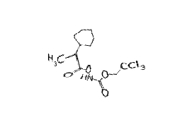 CC(C(=O)ONC(=O)OCC(Cl)(Cl)Cl)C1CCCCC1